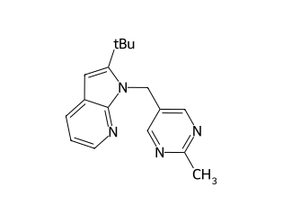 Cc1ncc(Cn2c(C(C)(C)C)cc3cccnc32)cn1